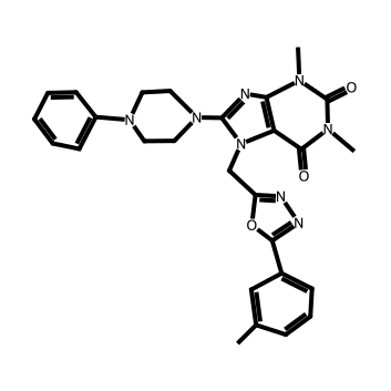 Cc1cccc(-c2nnc(Cn3c(N4CCN(c5ccccc5)CC4)nc4c3c(=O)n(C)c(=O)n4C)o2)c1